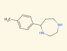 Cc1ccc(C2CCNCCN2)cc1